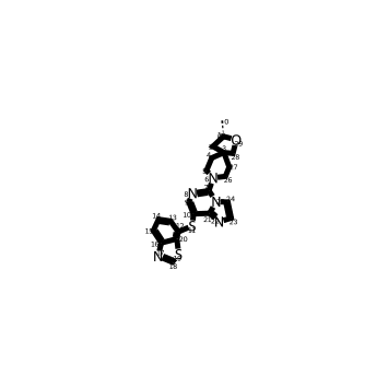 C[C@H]1CC2(CCN(c3ncc(Sc4cccc5ncsc45)c4nccn34)CC2)CO1